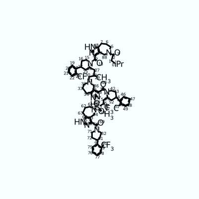 CC(C)CC(=O)N1CCCc2[nH]nc(C(=O)N3CCC(c4ccccc4C(F)(F)F)CC3CC(C)CN3CCCc4[nH]nc(C(=O)N5CCC(c6ccccc6C(F)(F)F)CC5CC(C)S(=O)(=O)N5CCCc6[nH]nc(C(=O)N7CCC(c8ccccc8C(F)(F)F)CC7)c6C5)c4C3)c2C1